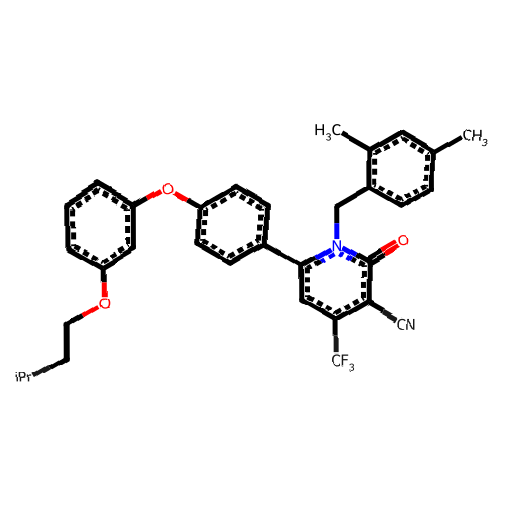 Cc1ccc(Cn2c(-c3ccc(Oc4cccc(OCCC(C)C)c4)cc3)cc(C(F)(F)F)c(C#N)c2=O)c(C)c1